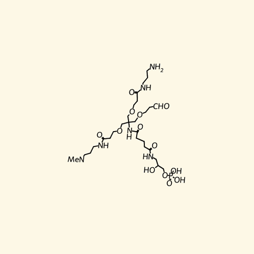 CNCCCNC(=O)CCOCC(COCCC=O)(COCCC(=O)NCCCN)NC(=O)CCCC(=O)NCC(O)COP(=O)(O)O